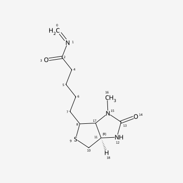 C=NC(=O)CCCCC1SC[C@@H]2NC(=O)N(C)C12